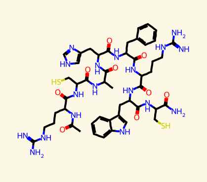 CC(=O)NC(CCCNC(=N)N)C(=O)NC(CS)C(=O)NC(C)C(=O)NC(Cc1c[nH]cn1)C(=O)NC(Cc1ccccc1)C(=O)NC(CCCNC(=N)N)C(=O)NC(Cc1c[nH]c2ccccc12)C(=O)NC(CS)C(N)=O